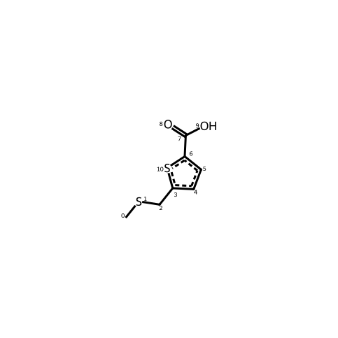 CSCc1ccc(C(=O)O)s1